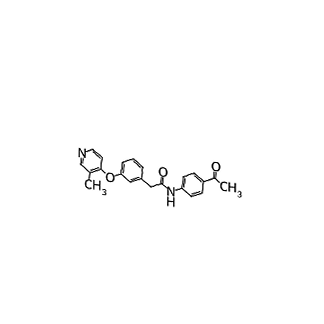 CC(=O)c1ccc(NC(=O)Cc2cccc(Oc3ccncc3C)c2)cc1